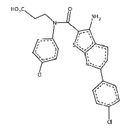 Nc1c(C(=O)N(CCC(=O)O)c2ccc(Cl)cc2)sc2nc(-c3ccc(Cl)cc3)ccc12